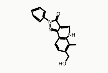 Cc1c(CO)ccc2c3nn(-c4ccccc4)c(=O)c-3c[nH]c12